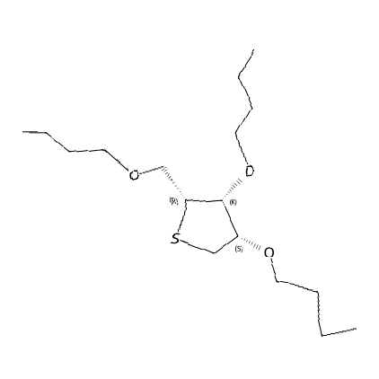 CCCCOC[C@H]1SC[C@@H](OCCCC)[C@H]1OCCCC